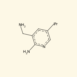 CC(C)c1cnc(N)c(CN)c1